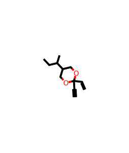 C#CC1(C=C)OCC(C(C)CC)CO1